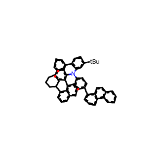 CC(C)(C)c1ccc(-c2ccccc2)c(N(c2ccc(-c3cccc4c3ccc3ccccc34)cc2)c2ccccc2-c2cccc3cccc(C4CCCCC4)c23)c1